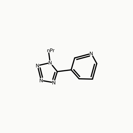 CCCn1nnnc1-c1cccnc1